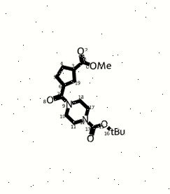 COC(=O)C1CCC(C(=O)N2CCN(C(=O)OC(C)(C)C)CC2)C1